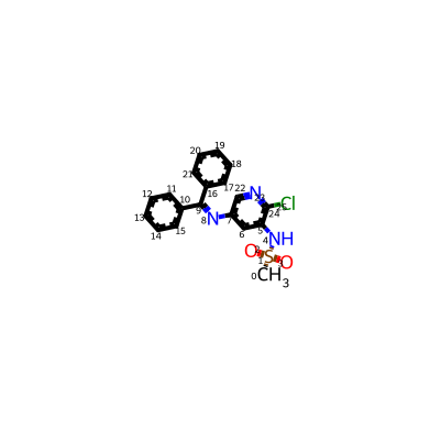 CS(=O)(=O)Nc1cc(N=C(c2ccccc2)c2ccccc2)cnc1Cl